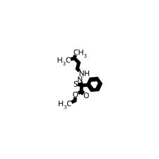 CCOC(=O)C1(c2ccccc2)SN1NCCC(C)C